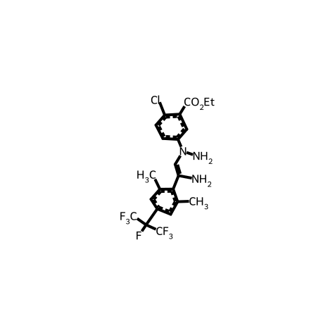 CCOC(=O)c1cc(N(N)/C=C(\N)c2c(C)cc(C(F)(C(F)(F)F)C(F)(F)F)cc2C)ccc1Cl